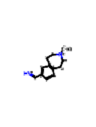 N=Cc1ccc2c(c1)CCN(C=O)CC2